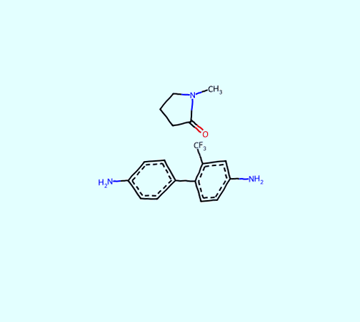 CN1CCCC1=O.Nc1ccc(-c2ccc(N)cc2C(F)(F)F)cc1